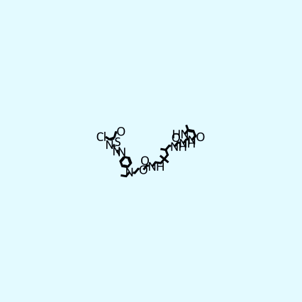 CCN(CCOC(=O)NCCC(C)(C)CC(C)CNC(=O)Nc1nc(=O)cc(C)[nH]1)c1ccc(/N=N/c2nc(Cl)c(C=O)s2)cc1